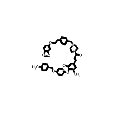 Cc1ccc(COc2ccc(Oc3c(C)cc(/C=C/C(=O)N4CCN(Cc5ccc(CCOc6ccc7c(c6)OCO7)cc5)CC4)cc3Cl)nc2)cc1